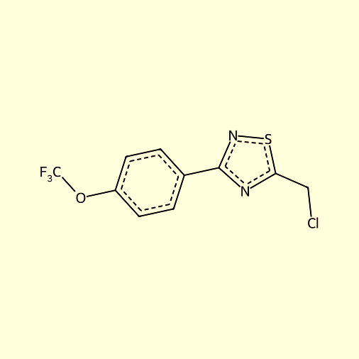 FC(F)(F)Oc1ccc(-c2nsc(CCl)n2)cc1